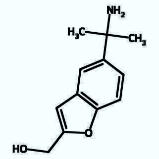 CC(C)(N)c1ccc2oc(CO)cc2c1